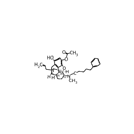 C=CCN1CC[C@]23c4c5c(O)cc(OC(C)=O)c4O[C@H]2[C@@H](N(C)CCCCCCc2ccccc2)CC[C@H]3[C@H]1C5